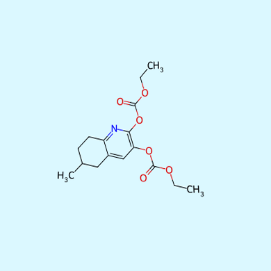 CCOC(=O)Oc1cc2c(nc1OC(=O)OCC)CCC(C)C2